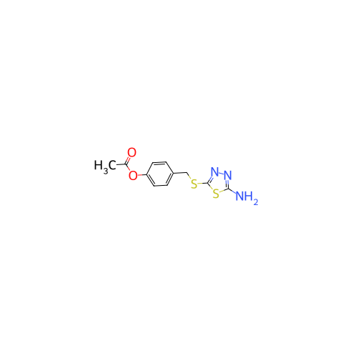 CC(=O)Oc1ccc(CSc2nnc(N)s2)cc1